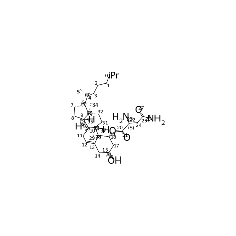 CC(C)CCC[C@@H](C)[C@H]1CC[C@H]2[C@@H]3CC=C4C[C@@H](O)CC(OC(=O)[C@@H](N)CC(N)=O)[C@]4(C)[C@H]3CC[C@]12C